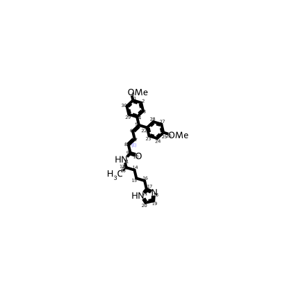 COc1ccc(C(=C/C=C/C(=O)N[C@H](C)CCCc2ncc[nH]2)c2ccc(OC)cc2)cc1